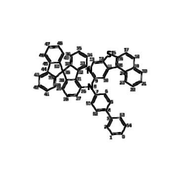 c1ccc(-c2ccc(N(c3cc4c(cn3)sc3ccc5ccccc5c34)c3cccc4c3-c3ccccc3C43c4ccccc4-c4ccccc43)cc2)cc1